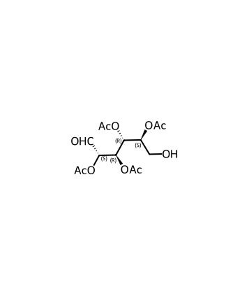 CC(=O)O[C@H]([C@H](OC(C)=O)[C@H](CO)OC(C)=O)[C@@H](C=O)OC(C)=O